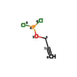 C#CCOP(Cl)Cl